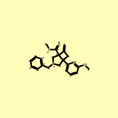 C=C1CC2(c3cccc(OC)n3)CN(Cc3ccccc3)CC12C(=O)OC